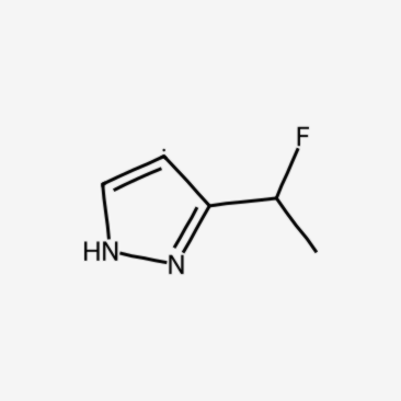 CC(F)c1[c]c[nH]n1